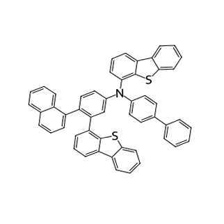 c1ccc(-c2ccc(N(c3ccc(-c4cccc5ccccc45)c(-c4cccc5c4sc4ccccc45)c3)c3cccc4c3sc3ccccc34)cc2)cc1